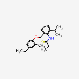 CCC(=S)Nc1c(COc2ccc(CC)cc2C)cccc1C(C)C